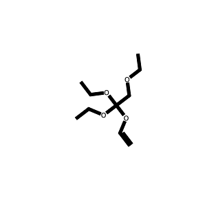 C=COC(COCC)(OCC)OCC